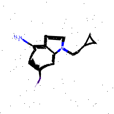 Nc1cc(I)cc2c1ccn2CC1CC1